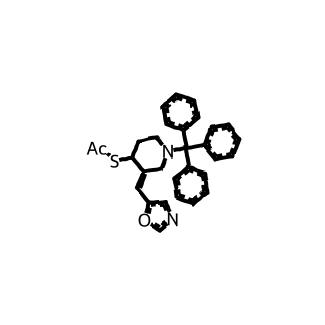 CC(=O)SC1CCN(C(c2ccccc2)(c2ccccc2)c2ccccc2)CC1=Cc1cnco1